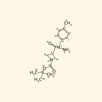 Cc1ccc(N(N)C(=O)C2CN(C(=O)OC(C)(C)C)C2)cc1